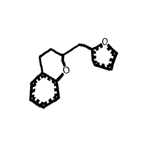 c1coc(CC2CCc3ccccc3O2)c1